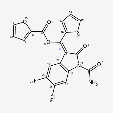 NC(=O)N1C(=O)/C(=C(/OC(=O)c2ccco2)c2cccs2)c2cc(F)c(Cl)cc21